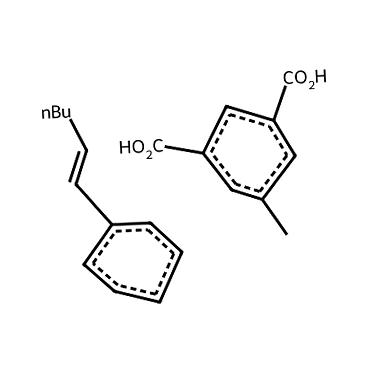 CCCCC=Cc1ccccc1.Cc1cc(C(=O)O)cc(C(=O)O)c1